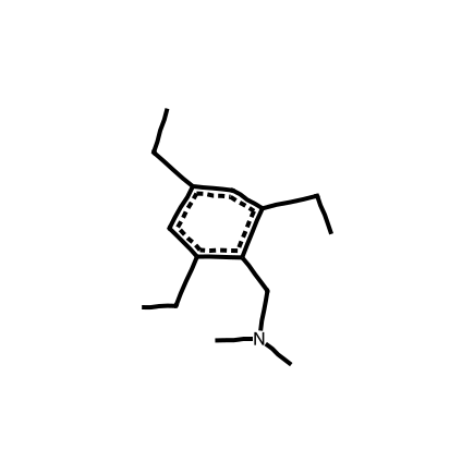 CCc1cc(CC)c(CN(C)C)c(CC)c1